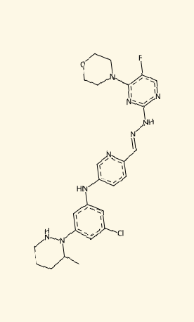 CC1CCCNN1c1cc(Cl)cc(Nc2ccc(/C=N/Nc3ncc(F)c(N4CCOCC4)n3)nc2)c1